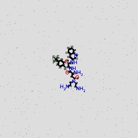 NCCN(CCN)C(=O)C[C@H](N)C(=O)N[C@H](Cc1ccc(C(F)(F)F)cc1)C(=O)Nc1cnc2ccccc2c1